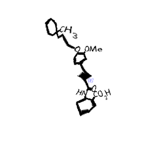 COc1cc(/C=C/C(=O)Nc2ccccc2C(=O)O)ccc1OCCCC1(C)CCCCC1